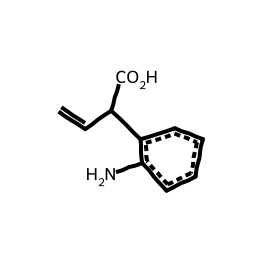 C=CC(C(=O)O)c1ccccc1N